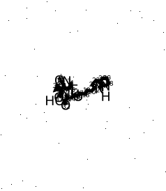 COc1ncc(F)cc1C1(C(=O)N[C@@H](CCOCCCCc2ccc3c(n2)NCCC3)C(=O)O)CC1